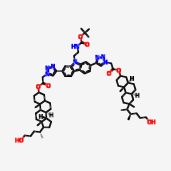 CC([C@H](C)CCCO)C1(C)CCC2[C@@H](CC[C@@H]3C[C@H](OC(=O)Cn4cc(-c5ccc6c7ccc(-c8cn(CC(=O)O[C@@H]9CCC%10(C)C(CC[C@@H]%11C%10CCC%10(C)C([C@H](C)CCCO)CC[C@@H]%11%10)C9)nn8)cc7n(CCNC(=O)OC(C)(C)C)c6c5)nn4)CCC23C)C1